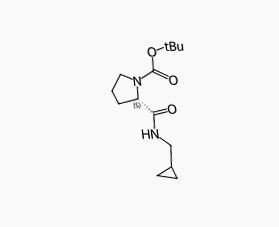 CC(C)(C)OC(=O)N1CCC[C@H]1C(=O)NCC1CC1